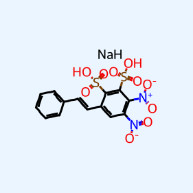 O=[N+]([O-])c1cc(C=Cc2ccccc2)c(S(=O)(=O)O)c(S(=O)(=O)O)c1[N+](=O)[O-].[NaH]